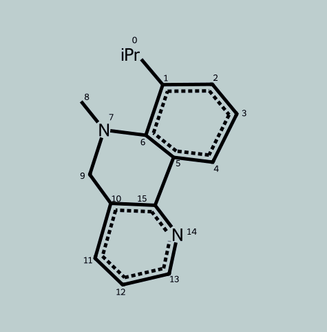 CC(C)c1cccc2c1N(C)Cc1cccnc1-2